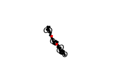 C=C(C)C(=O)OCCCCCCOc1ccc(C=CC(=O)Oc2ccc(OC)cc2)cc1